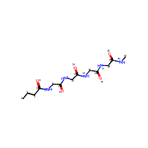 CCCC(=O)NCC(=O)NCC(=O)NCC(=O)NCC(=O)NC